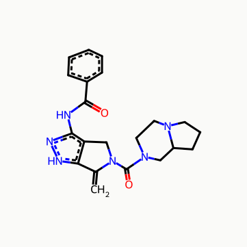 C=C1c2[nH]nc(NC(=O)c3ccccc3)c2CN1C(=O)N1CCN2CCCC2C1